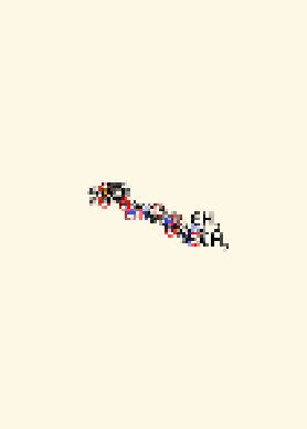 CC1CN(C)c2cc(S(=O)(=O)N3CCC4(CC3)CC(NCC(O)COc3cccc(S(=O)(=O)C5CC5)c3)CO4)cnc2O1